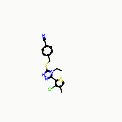 CCn1c(SCc2ccc(C#N)cc2)nnc1-c1scc(C)c1Cl